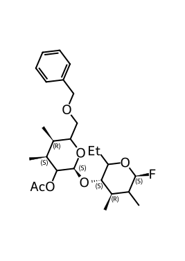 CCC1O[C@@H](F)C(C)[C@@H](C)[C@@H]1O[C@@H]1OC(COCc2ccccc2)[C@H](C)[C@H](C)C1OC(C)=O